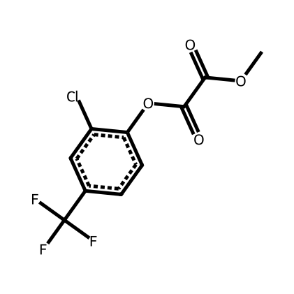 COC(=O)C(=O)Oc1ccc(C(F)(F)F)cc1Cl